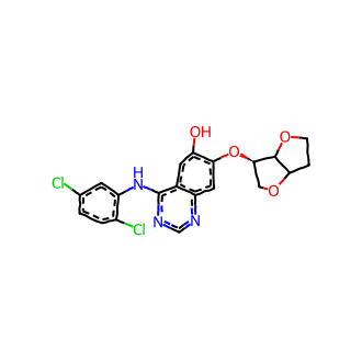 Oc1cc2c(Nc3cc(Cl)ccc3Cl)ncnc2cc1O[C@@H]1COC2CCOC21